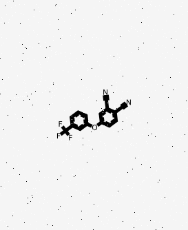 N#Cc1ccc(Oc2cccc(C(F)(F)F)c2)cc1C#N